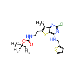 Cc1c(CCNC(=O)OC(C)(C)C)sc2c(NCc3cccs3)nc(Cl)nc12